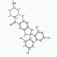 O=C(c1cc2c(cc1F)OC(c1ccc(F)cc1F)(c1ccc(F)cc1F)O2)N1CCC(O)CC1